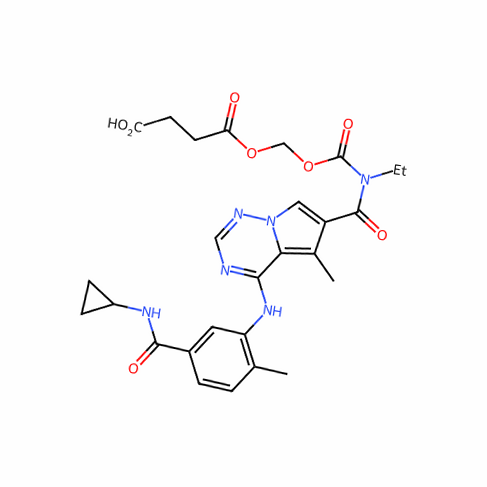 CCN(C(=O)OCOC(=O)CCC(=O)O)C(=O)c1cn2ncnc(Nc3cc(C(=O)NC4CC4)ccc3C)c2c1C